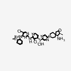 C[C@@H]1C(=O)CC2(CCN(c3cnc(Sc4ccnc(Nc5ncc(Cl)c(Nc6ccccc6P(C)C)n5)c4Cl)cn3)CC2)[C@H]1N.Cl